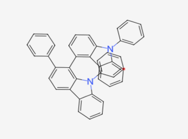 c1ccc(-c2ccc3c4ccccc4n(-c4ccccc4)c3c2-c2cccc3c2c2ccccc2n3-c2ccccc2)cc1